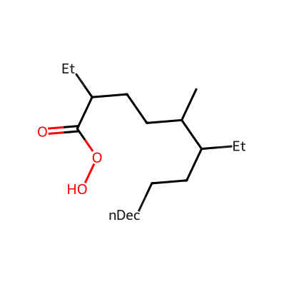 CCCCCCCCCCCCC(CC)C(C)CCC(CC)C(=O)OO